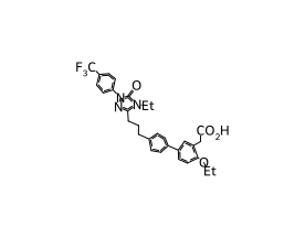 CCOc1ccc(-c2ccc(CCCc3nn(-c4ccc(C(F)(F)F)cc4)c(=O)n3CC)cc2)cc1CC(=O)O